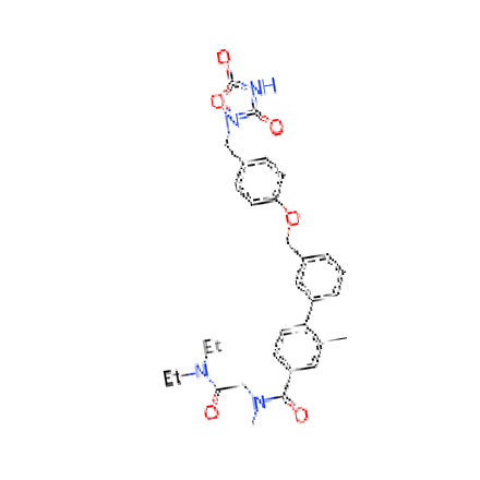 CCN(CC)C(=O)CN(C)C(=O)c1ccc(-c2cccc(COc3ccc(Cn4oc(=O)[nH]c4=O)cc3)c2)c(C)c1